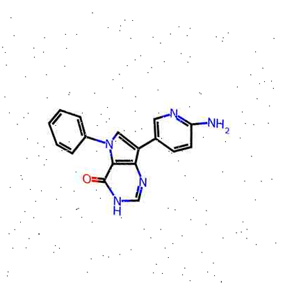 Nc1ccc(-c2cn(-c3ccccc3)c3c(=O)[nH]cnc23)cn1